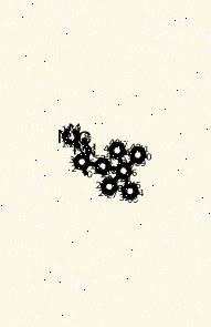 Cc1ccc2c(nc3oc4ncncc4n32)c1-c1ccc(-c2c(-c3ccccc3)c(-c3ccccc3)cc(-c3ccccc3)c2-c2ccccc2)cc1